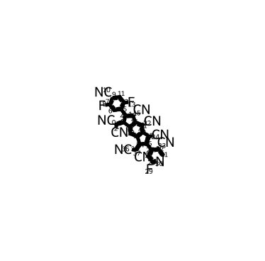 N#CC(C#N)=C1C(c2cc(F)c(C#N)cc2F)=C(C#N)c2c1cc1c(c2C#N)C(C#N)=C(c2cc(F)ncc2C#N)C1=C(C#N)C#N